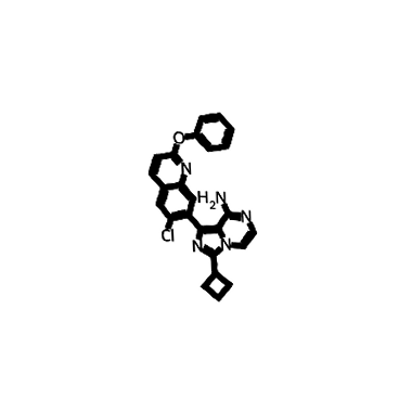 Nc1nccn2c(C3CCC3)nc(-c3cc4nc(Oc5ccccc5)ccc4cc3Cl)c12